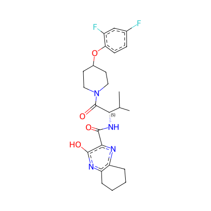 CC(C)[C@H](NC(=O)c1nc2c(nc1O)CCCC2)C(=O)N1CCC(Oc2ccc(F)cc2F)CC1